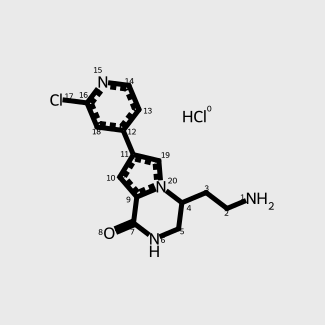 Cl.NCCC1CNC(=O)c2cc(-c3ccnc(Cl)c3)cn21